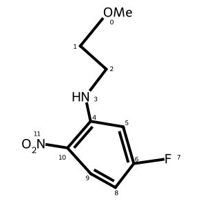 COCCNc1cc(F)ccc1[N+](=O)[O-]